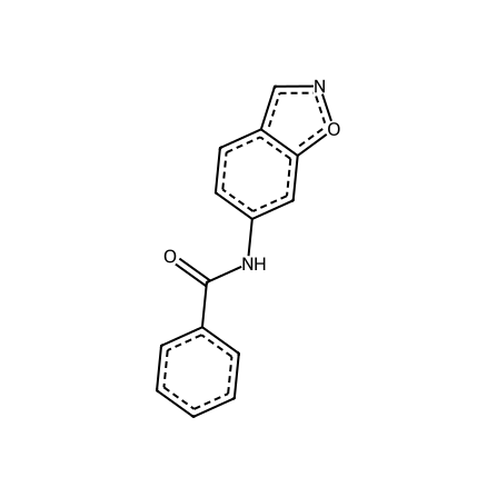 O=C(Nc1ccc2cnoc2c1)c1ccccc1